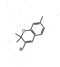 Cc1ccc2c(c1)OC(C)(C)C(Br)=C2